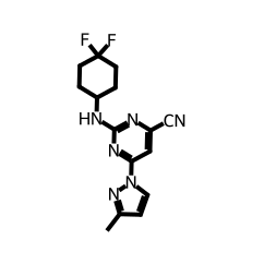 Cc1ccn(-c2cc(C#N)nc(NC3CCC(F)(F)CC3)n2)n1